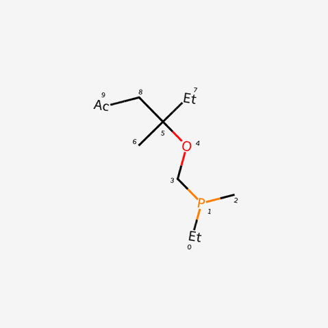 CCP(C)COC(C)(CC)CC(C)=O